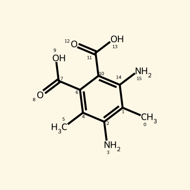 Cc1c(N)c(C)c(C(=O)O)c(C(=O)O)c1N